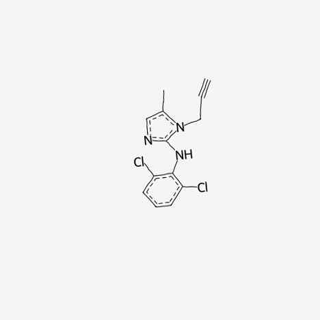 C#CCn1c(C)cnc1Nc1c(Cl)cccc1Cl